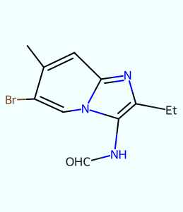 CCc1nc2cc(C)c(Br)cn2c1NC=O